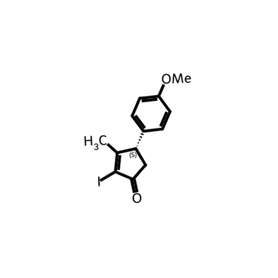 COc1ccc([C@@H]2CC(=O)C(I)=C2C)cc1